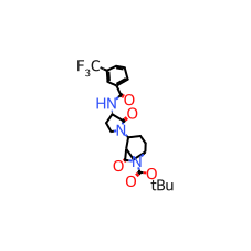 CC(C)(C)OC(=O)N1C(=O)C2CC1CCC2N1CC[C@H](NC(=O)c2cccc(C(F)(F)F)c2)C1=O